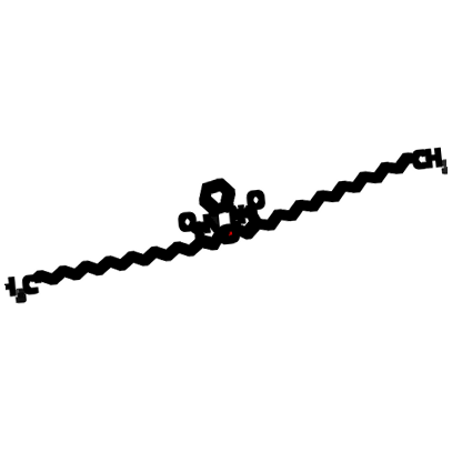 CCCCCCCCCCCCCCCC1=CC(=O)N(c2ccccc2N2C(=O)C=C(CCCCCCCCCCCCCCC)C2=O)C1=O